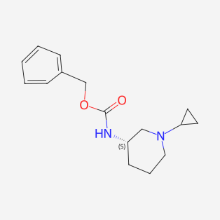 O=C(N[C@H]1CCCN(C2CC2)C1)OCc1ccccc1